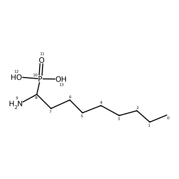 CCCCCCCCC(N)P(=O)(O)O